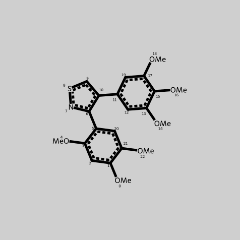 COc1cc(OC)c(-c2nscc2-c2cc(OC)c(OC)c(OC)c2)cc1OC